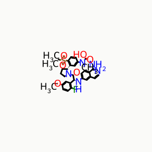 COc1ccc(F)c([C@@H](Nc2ccc3c(N)nccc3c2)C(=O)N2CCC[C@@H]2c2cc(N(C)C(=O)O)ccc2S(=O)(=O)C(C)C)c1